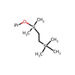 CC(C)O[Si](C)(C)CC[Si](C)(C)C